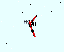 CCCCCCCCCCCCCCCCCCOCC(O)CN(CCO)C(=O)CCCCCCCCCCCCCCC